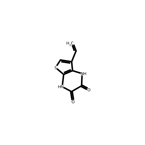 C=Cc1csc2[nH]c(=O)c(=O)[nH]c12